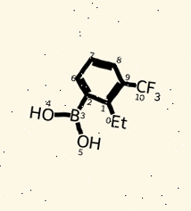 CCc1c(B(O)O)cccc1C(F)(F)F